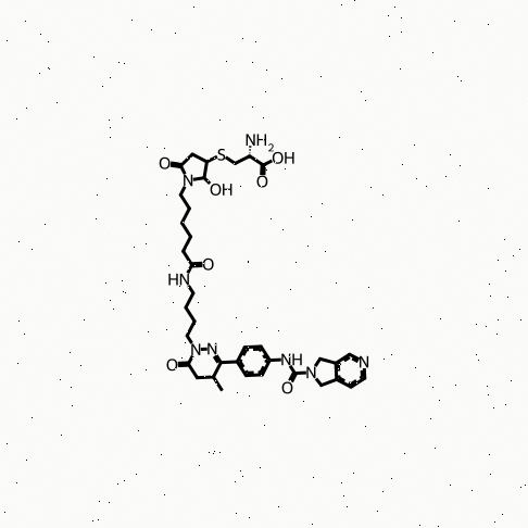 CC1CC(=O)N(CCCCNC(=O)CCCCCN2C(=O)CC(SC[C@H](N)C(=O)O)C2O)N=C1c1ccc(NC(=O)N2Cc3ccncc3C2)cc1